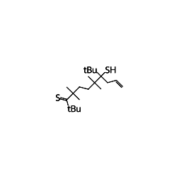 C=CCC(S)(C(C)(C)C)C(C)(C)CCC(C)(C)C(=S)C(C)(C)C